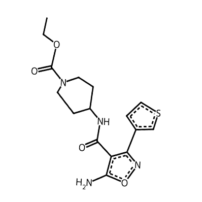 CCOC(=O)N1CCC(NC(=O)c2c(-c3ccsc3)noc2N)CC1